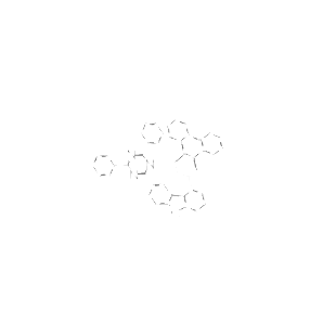 C1=c2c(c3ccccc3c3ccccc23)=CC(c2cccc3oc4ccc(-c5nc(-c6ccccc6)nc(-c6ccccc6)n5)cc4c23)C1